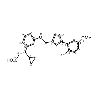 COc1ccc(F)c(-n2cc(COc3cccc([C@@H](CC(=O)O)C4CC4)c3)cn2)c1